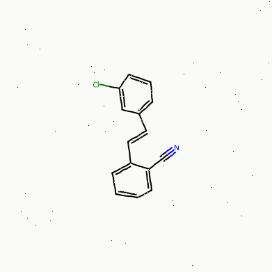 N#Cc1ccccc1C=Cc1cccc(Cl)c1